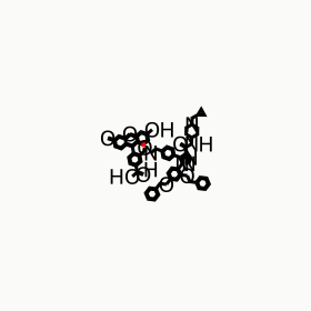 O=C(O)c1ccc(-c2c3ccc(=O)cc-3oc3cc(O)ccc23)c(C(=O)NCc2ccc(-c3c(C(=O)NC4CCN(CC5CC5)CC4)nnn3-c3ccc(OCc4ccccc4)cc3OCc3ccccc3)cc2)c1